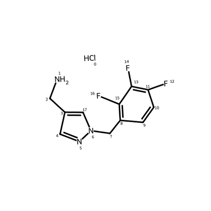 Cl.NCc1cnn(Cc2ccc(F)c(F)c2F)c1